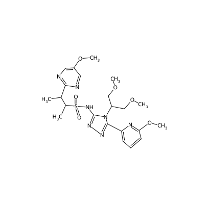 COCC(COC)n1c(NS(=O)(=O)C(C)C(C)c2ncc(OC)cn2)nnc1-c1cccc(OC)n1